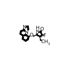 CC[C@@H]1[C@H](F)C(=O)N[C@@H]1COc1cccc2ccc3nccn3c12